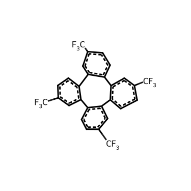 FC(F)(F)c1ccc2c(c1)-c1ccc(C(F)(F)F)cc1-c1ccc(C(F)(F)F)cc1-c1ccc(C(F)(F)F)cc1-2